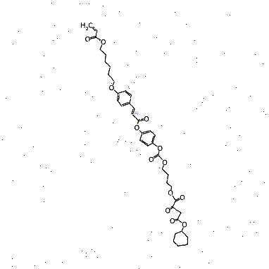 C=CC(=O)OCCCCCCOc1ccc(/C=C/C(=O)Oc2ccc(OC(=O)OCCCCOC(=O)C(=O)CC(=O)OC3CCCCC3)cc2)cc1